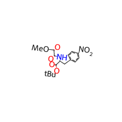 COC(=O)C(=O)NC(Cc1ccc([N+](=O)[O-])cc1)C(=O)OC(C)(C)C